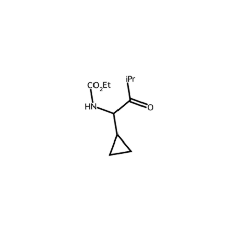 CCOC(=O)NC(C(=O)C(C)C)C1CC1